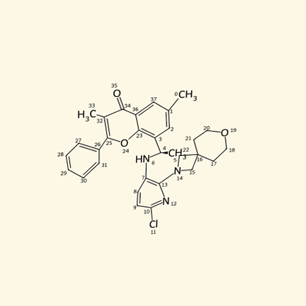 Cc1cc([C@@H](C)Nc2ccc(Cl)nc2N2CC3(CCOCC3)C2)c2oc(-c3ccccc3)c(C)c(=O)c2c1